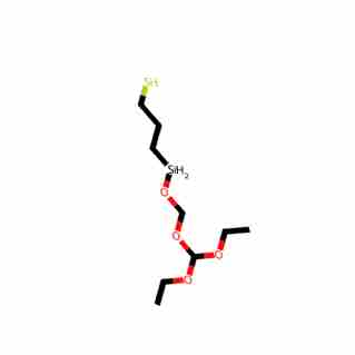 CCOC(OCC)OCO[SiH2]CCCS